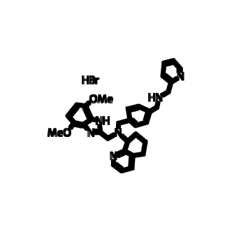 Br.COc1ccc(OC)c2[nH]c(CN(Cc3ccc(CNCc4ccccn4)cc3)C3CCCc4cccnc43)nc12